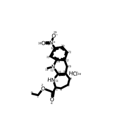 CCOC(=O)C1CCCC2=C(N1)N(C)c1cc([N+](=O)[O-])ccc1C2.Cl